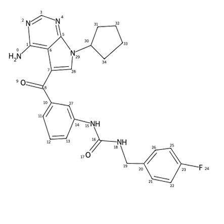 Nc1ncnc2c1c(C(=O)c1cccc(NC(=O)NCc3ccc(F)cc3)c1)cn2C1CCCC1